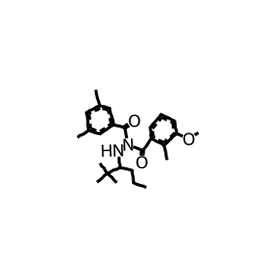 CCCC(NN(C(=O)c1cc(C)cc(C)c1)C(=O)c1cccc(OC)c1C)C(C)(C)C